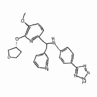 COc1ccc(C(Nc2ccc(-c3nn[nH]n3)cc2)c2cccnc2)nc1O[C@@H]1CCOC1